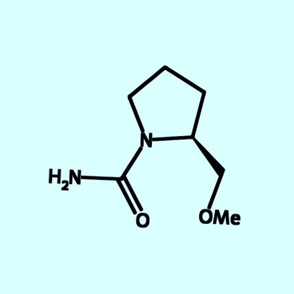 COC[C@@H]1CCCN1C(N)=O